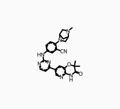 CN1CC2CC1CN2c1ccc(Nc2nccc(-c3cnc4c(c3)OC(C)(C)C(=O)N4)n2)cc1C#N